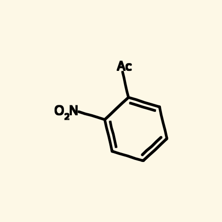 [CH2]C(=O)c1ccccc1[N+](=O)[O-]